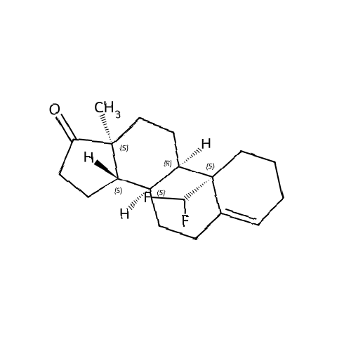 C[C@]12CC[C@@H]3[C@@H](CCC4=CCCC[C@@]43C(F)F)[C@@H]1CCC2=O